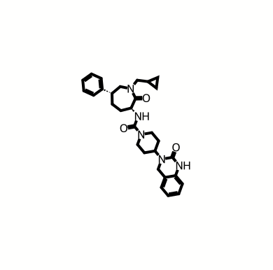 O=C(N[C@@H]1CC[C@H](c2ccccc2)CN(CC2CC2)C1=O)N1CCC(N2Cc3ccccc3NC2=O)CC1